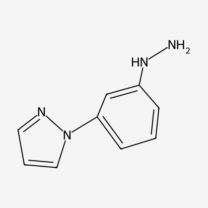 NNc1cccc(-n2cccn2)c1